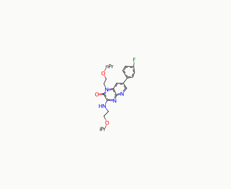 CCCOCCn1c(=O)c(NCCOC(C)C)nc2ncc(-c3ccc(F)cc3)cc21